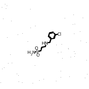 NS(=O)(=O)CCCNCc1cccc(Cl)c1